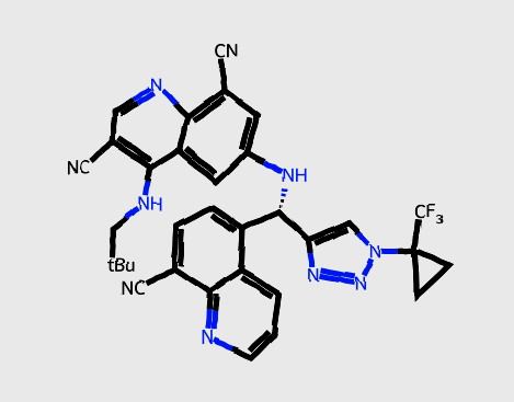 CC(C)(C)CNc1c(C#N)cnc2c(C#N)cc(N[C@H](c3cn(C4(C(F)(F)F)CC4)nn3)c3ccc(C#N)c4ncccc34)cc12